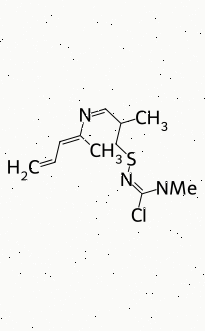 C=C/C=C(C)/N=C\C(C)CS/N=C(/Cl)NC